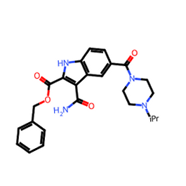 CC(C)N1CCN(C(=O)c2ccc3[nH]c(C(=O)OCc4ccccc4)c(C(N)=O)c3c2)CC1